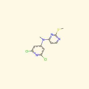 CSc1nccc(N(C)c2cc(Cl)nc(Cl)c2)n1